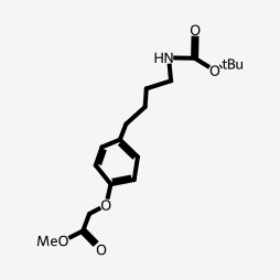 COC(=O)COc1ccc(CCCCNC(=O)OC(C)(C)C)cc1